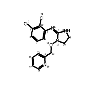 Clc1cccc(N=C2NCCN2OCc2ccccn2)c1Cl